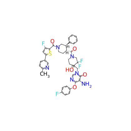 Cc1ccc(-c2cc(F)c(C(=O)N3CC[C@@H](C(=O)N4CC[C@](O)(Cn5cnc(Oc6ccc(F)cc6)c(N)c5=O)C(F)(F)C4)[C@H](c4ccccc4)C3)s2)cn1